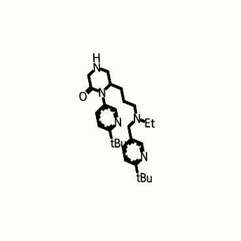 CCN(CCCC1CNCC(=O)N1c1ccc(C(C)(C)C)nc1)Cc1ccc(C(C)(C)C)nc1